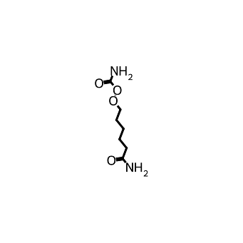 NC(=O)CCCCCOOC(N)=O